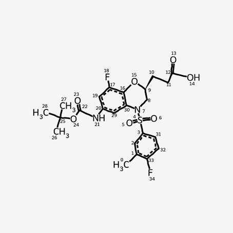 Cc1cc(S(=O)(=O)N2C[C@H](CCC(=O)O)Oc3c(F)cc(NC(=O)OC(C)(C)C)cc32)ccc1F